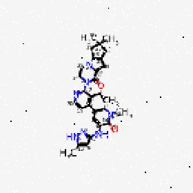 CCc1c(-c2cc(Nc3cc(C)[nH]n3)c(=O)n(C)c2)ccnc1N1CCn2c(cc3c2CC(C)(C)C3)C1=O